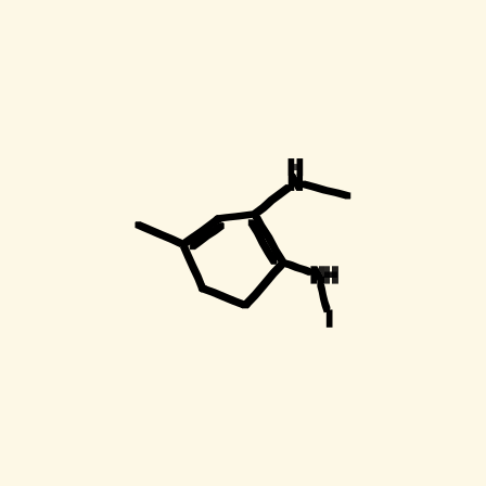 CNC1=C(NI)CCC(C)=C1